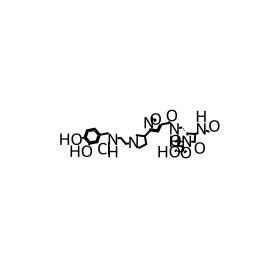 O=CNC1C(=O)N(S(=O)(=O)O)[C@@H]1CNC(=O)c1cc(C2CCN(CCNCc3ccc(O)c(O)c3Cl)C2)no1